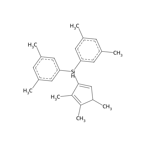 CC1=C(C)C(C)C=C1[SiH](c1cc(C)cc(C)c1)c1cc(C)cc(C)c1